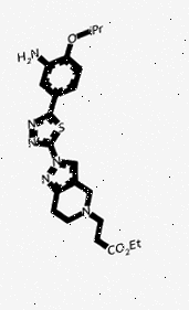 CCOC(=O)CCN1CCc2nn(-c3nnc(-c4ccc(OC(C)C)c(N)c4)s3)cc2C1